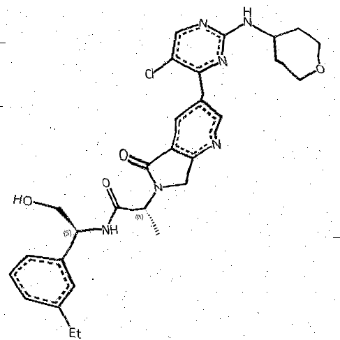 CCc1cccc([C@@H](CO)NC(=O)[C@@H](C)N2Cc3ncc(-c4nc(NC5CCOCC5)ncc4Cl)cc3C2=O)c1